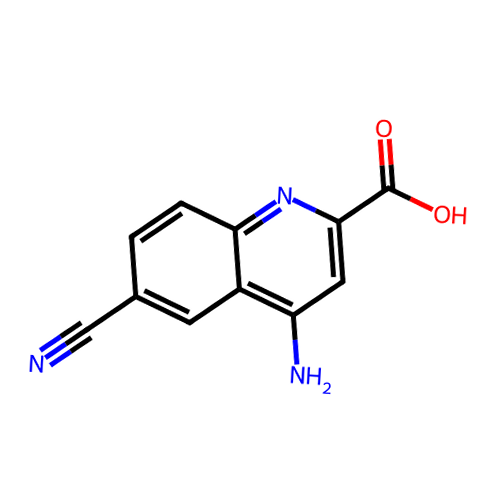 N#Cc1ccc2nc(C(=O)O)cc(N)c2c1